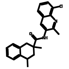 Cc1nc2c(Cl)cccc2cc1NC(=O)C1(C)Cc2ccccc2C(C)C1